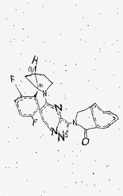 O=C1c2ccccc2CN1c1cnn2ccc(N3CC[C@H]4C[C@]43c3cc(F)ccc3F)nc12